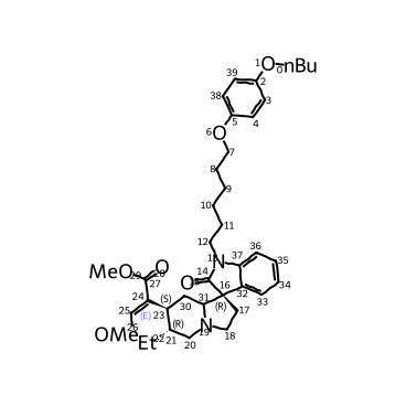 CCCCOc1ccc(OCCCCCCN2C(=O)[C@]3(CCN4C[C@H](CC)[C@@H](/C(=C\OC)C(=O)OC)CC43)c3ccccc32)cc1